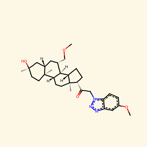 COC[C@H]1C[C@H]2C[C@](C)(O)CC[C@]2(C)[C@H]2CC[C@]3(C)[C@@H](C(=O)Cn4nnc5cc(OC)ccc54)CC[C@H]3[C@H]12